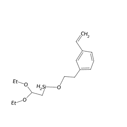 C=Cc1cccc(CCO[SiH2]CC(OCC)OCC)c1